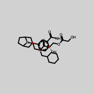 NC(=O)c1cccc(C2CC3CCC(C2)N3CCN(CC2CCCCC2)C(=O)[C@@H](O)COC(=O)CO)c1